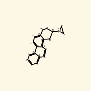 c1ccc2c(c1)ccc1c3c(ccc12)CCC(N1CC1)C3